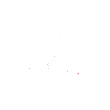 c1ccc(N(c2ccccc2-c2ccc3ccccc3c2)c2ccccc2-c2ccccc2-n2c3ccccc3c3ccccc32)c(-c2ccc3ccccc3c2)c1